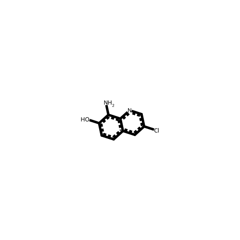 Nc1c(O)ccc2cc(Cl)cnc12